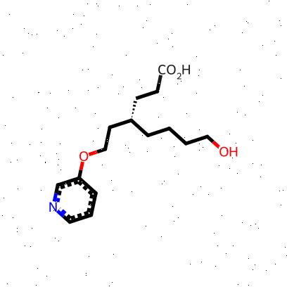 O=C(O)CC[C@H](CCCCO)CCOc1cccnc1